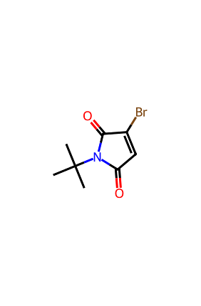 CC(C)(C)N1C(=O)C=C(Br)C1=O